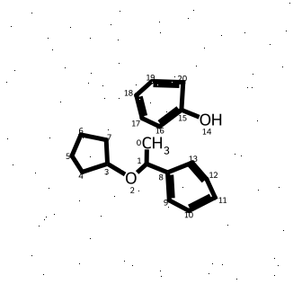 CC(OC1CCCC1)c1ccccc1.Oc1ccccc1